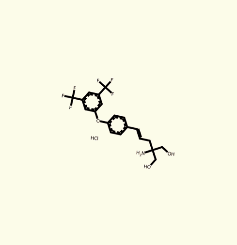 Cl.NC(CO)(CO)CC=Cc1ccc(Oc2cc(C(F)(F)F)cc(C(F)(F)F)c2)cc1